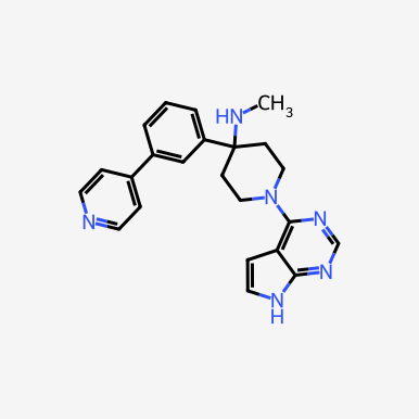 CNC1(c2cccc(-c3ccncc3)c2)CCN(c2ncnc3[nH]ccc23)CC1